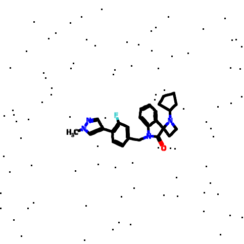 Cn1cc(-c2ccc(CN3C(=O)C4(CCN4C4CCCC4)c4ccccc43)cc2F)cn1